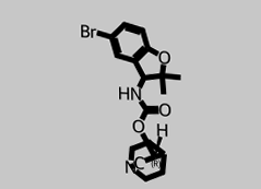 CC1(C)Oc2ccc(Br)cc2C1NC(=O)O[C@H]1CN2CCC1CC2